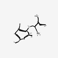 Cc1cc(C)c(OC(N)C(C)O)c(C)c1